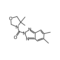 Cc1cc2nn(C(=O)N3COCC3(C)C)nc2cc1C